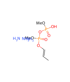 CC=COP(=O)(OC)OP(=O)(O)OC.N.N.N